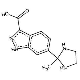 CC1(c2ccc3c(C(=O)O)n[nH]c3c2)NCCN1